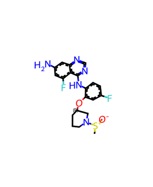 C[S+]([O-])N1CCC[C@@H](Oc2cc(F)ccc2Nc2ncnc3cc(N)cc(F)c23)C1